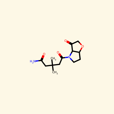 CC(C)(CC(N)=O)CC(=O)N1CCC2OCC(=O)C21